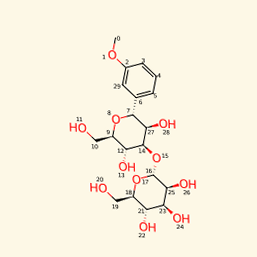 COc1cccc([C@H]2O[C@H](CO)[C@@H](O)[C@H](O[C@H]3O[C@H](CO)[C@@H](O)[C@H](O)[C@@H]3O)[C@@H]2O)c1